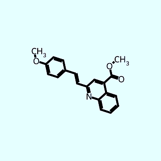 COC(=O)c1cc(/C=C/c2ccc(OC)cc2)nc2ccccc12